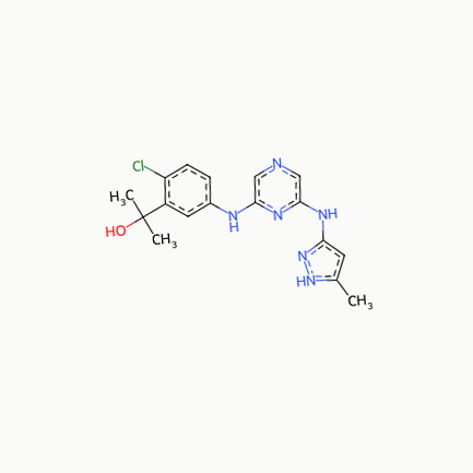 Cc1cc(Nc2cncc(Nc3ccc(Cl)c(C(C)(C)O)c3)n2)n[nH]1